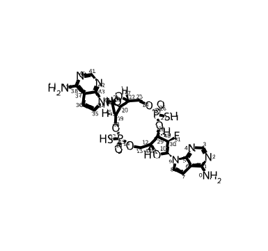 Nc1ncnc2c1ccn2[C@@H]1O[C@@H]2COP(=O)(S)O[C@@H]3[C@H](O)[C@@H](COP(=O)(S)O[C@H]2[C@H]1F)O[C@H]3n1ccc2c(N)ncnc21